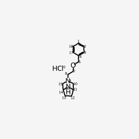 Cl.c1ccc(COCCN2CC3CCC(C2)N3)cc1